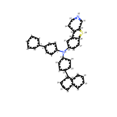 c1ccc(-c2ccc(N(c3ccc(-c4cccc5ccccc45)cc3)c3ccc4sc5cnccc5c4c3)cc2)cc1